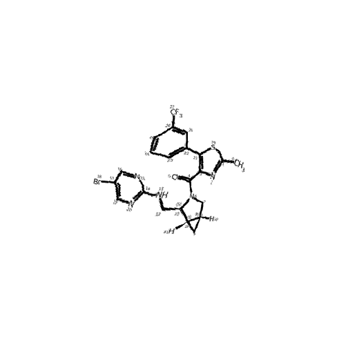 Cc1nc(C(=O)N2C[C@@H]3C[C@@H]3[C@H]2CNc2ncc(Br)cn2)c(-c2cccc(C(F)(F)F)c2)s1